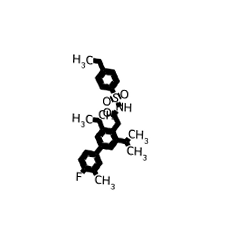 CCc1ccc(S(=O)(=O)NC(=O)Cc2c(C(C)C)cc(-c3ccc(F)c(C)c3)cc2C(C)C)cc1